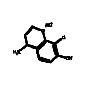 Cl.NC1CCOc2c1ccc(O)c2Cl